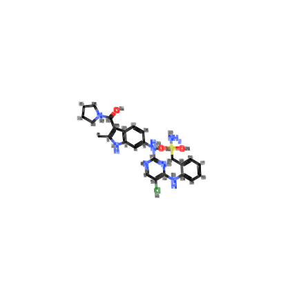 Cc1[nH]c2cc(Nc3ncc(Cl)c(Nc4ccccc4CS(N)(=O)=O)n3)ccc2c1C(=O)N1CCCC1